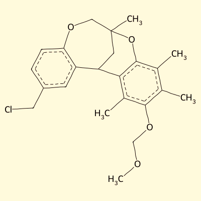 COCOc1c(C)c(C)c2c(c1C)C1CC(C)(COc3ccc(CCl)cc31)O2